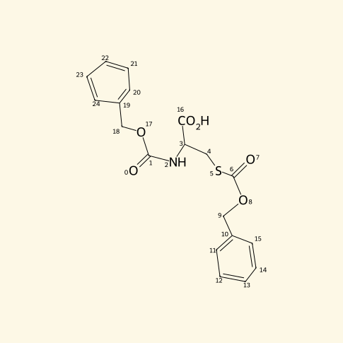 O=C(NC(CSC(=O)OCc1ccccc1)C(=O)O)OCc1ccccc1